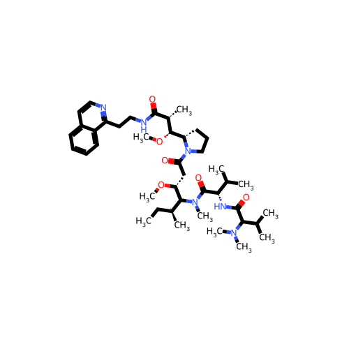 CC[C@H](C)C([C@@H](CC(=O)N1CCC[C@H]1[C@H](OC)[C@@H](C)C(=O)NCCc1nccc2ccccc12)OC)N(C)C(=O)[C@@H](NC(=O)C(C(C)C)N(C)C)C(C)C